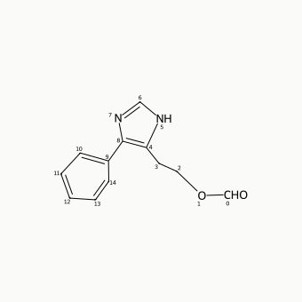 O=COCCc1[nH]cnc1-c1ccccc1